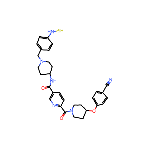 N#Cc1ccc(OC2CCN(C(=O)c3ccc(C(=O)NC4CCN(Cc5ccc(NS)cc5)CC4)cn3)CC2)cc1